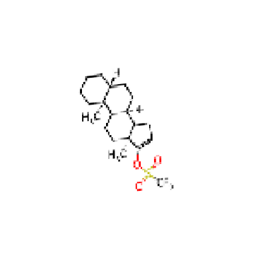 C[C@]12CCC3[C@@H](CC[C@H]4CCCC[C@]34C)C1CC=C2OS(=O)(=O)C(F)(F)F